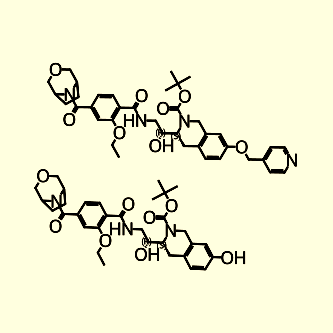 CCOc1cc(C(=O)N2C3CCC2COC3)ccc1C(=O)NC[C@@H](O)[C@@H]1Cc2ccc(O)cc2CN1C(=O)OC(C)(C)C.CCOc1cc(C(=O)N2C3CCC2COC3)ccc1C(=O)NC[C@@H](O)[C@@H]1Cc2ccc(OCc3ccncc3)cc2CN1C(=O)OC(C)(C)C